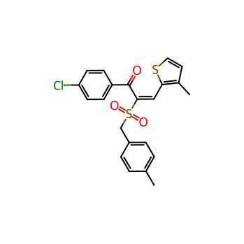 Cc1ccc(CS(=O)(=O)C(=Cc2sccc2C)C(=O)c2ccc(Cl)cc2)cc1